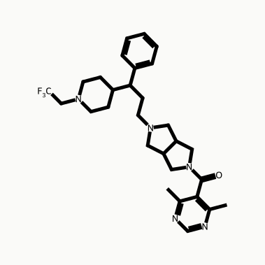 Cc1ncnc(C)c1C(=O)N1CC2CN(CCC(c3ccccc3)C3CCN(CC(F)(F)F)CC3)CC2C1